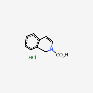 Cl.O=C(O)N1C=Cc2ccccc2C1